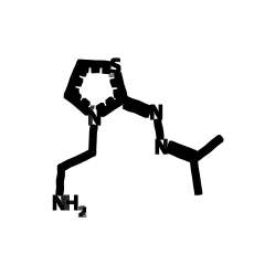 CC(C)=NN=c1sccn1CCN